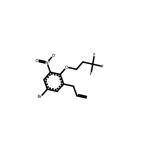 C=CCc1cc(Br)cc([N+](=O)[O-])c1OCCC(F)(F)F